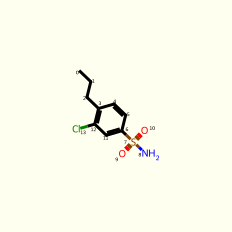 CCCc1ccc(S(N)(=O)=O)cc1Cl